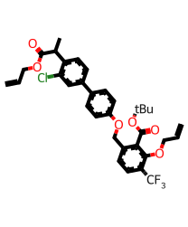 C=CCOC(=O)C(C)c1ccc(-c2ccc(OCc3ccc(C(F)(F)F)c(OCC=C)c3C(=O)OC(C)(C)C)cc2)cc1Cl